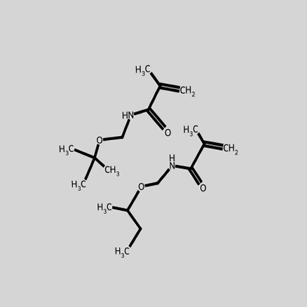 C=C(C)C(=O)NCOC(C)(C)C.C=C(C)C(=O)NCOC(C)CC